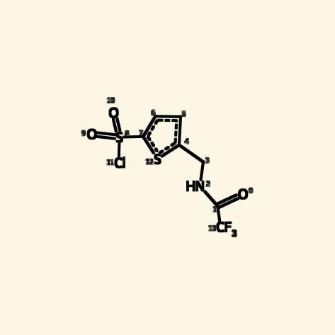 O=C(NCc1ccc(S(=O)(=O)Cl)s1)C(F)(F)F